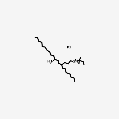 CCCCCCCCCCC(N)CCC(CCCCCCC)CCC[SiH2]OC(C)(C)CC.Cl